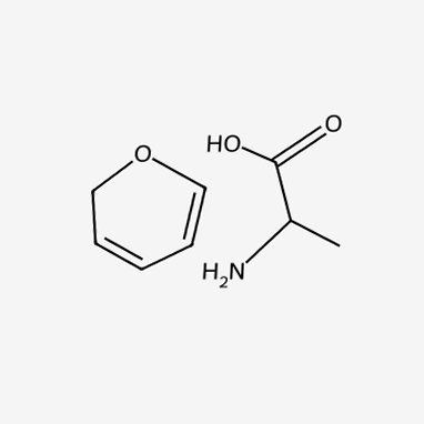 C1=CCOC=C1.CC(N)C(=O)O